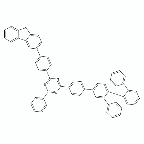 c1ccc(-c2nc(-c3ccc(-c4ccc5c(c4)-c4ccccc4C54c5ccccc5-c5ccccc54)cc3)nc(-c3ccc(-c4ccc5sc6ccccc6c5c4)cc3)n2)cc1